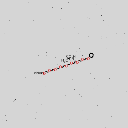 C=C(C)C(=O)O.CCCCCCCCCOCCOCCOCCOCCOCCOCCOCCOCCOc1ccccc1